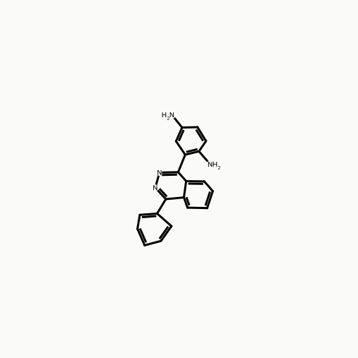 Nc1ccc(N)c(-c2nnc(-c3ccccc3)c3ccccc23)c1